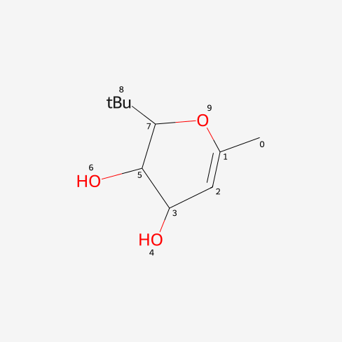 CC1=CC(O)C(O)C(C(C)(C)C)O1